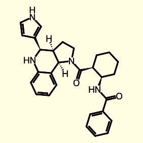 O=C(N[C@@H]1CCCC[C@@H]1C(=O)N1CC[C@@H]2[C@H](c3cc[nH]c3)Nc3ccccc3[C@@H]21)c1ccccc1